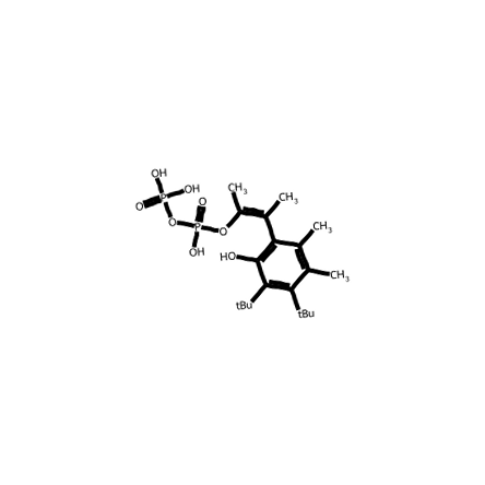 CC(OP(=O)(O)OP(=O)(O)O)=C(C)c1c(C)c(C)c(C(C)(C)C)c(C(C)(C)C)c1O